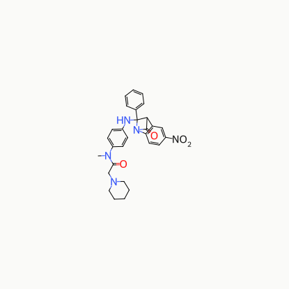 CN(C(=O)CN1CCCCC1)c1ccc(NC2(c3ccccc3)C3C(=O)N2c2ccc([N+](=O)[O-])cc23)cc1